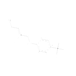 NCC=C(F)COc1ccc(C(F)(F)F)cc1